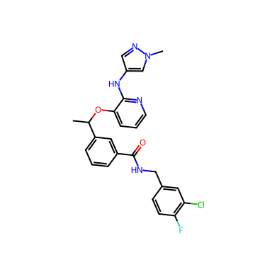 CC(Oc1cccnc1Nc1cnn(C)c1)c1cccc(C(=O)NCc2ccc(F)c(Cl)c2)c1